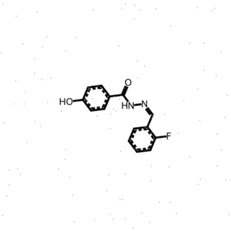 O=C(N/N=C\c1ccccc1F)c1ccc(O)cc1